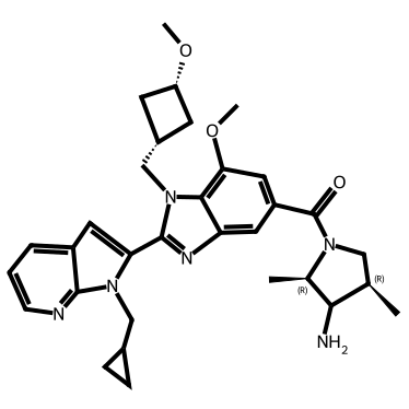 COc1cc(C(=O)N2C[C@@H](C)C(N)[C@H]2C)cc2nc(-c3cc4cccnc4n3CC3CC3)n(C[C@H]3C[C@@H](OC)C3)c12